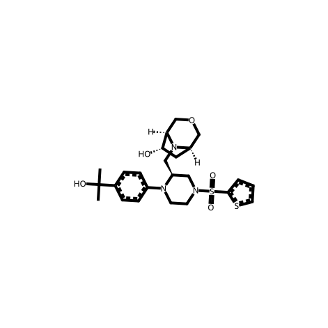 CC(C)(O)c1ccc(N2CCN(S(=O)(=O)c3cccs3)C[C@@H]2CN2[C@H]3COC[C@@H]2[C@@H](O)C3)cc1